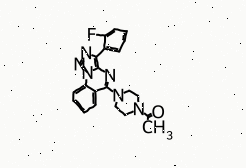 CC(=O)N1CCN(c2nc3c(-c4ccccc4F)nnn3c3ccccc23)CC1